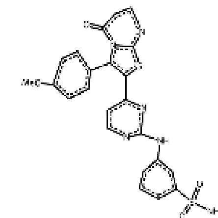 COc1ccc(-c2c(-c3ccnc(Nc4cccc(S(N)(=O)=O)c4)n3)sc3nccc(=O)n23)cc1